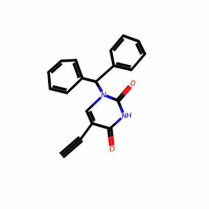 C#Cc1cn(C(c2ccccc2)c2ccccc2)c(=O)[nH]c1=O